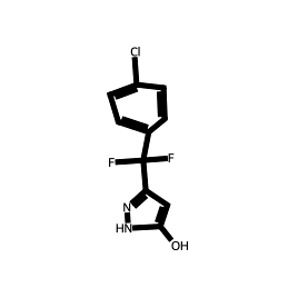 Oc1cc(C(F)(F)c2ccc(Cl)cc2)n[nH]1